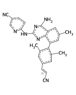 Cc1cc(-c2c(C)cc(/C=C/C#N)cc2C)c2nc(Nc3ccc(C#N)cn3)nc(N)c2c1